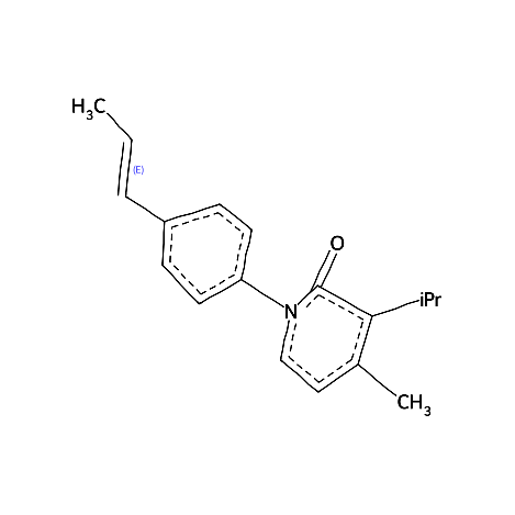 C/C=C/c1ccc(-n2ccc(C)c(C(C)C)c2=O)cc1